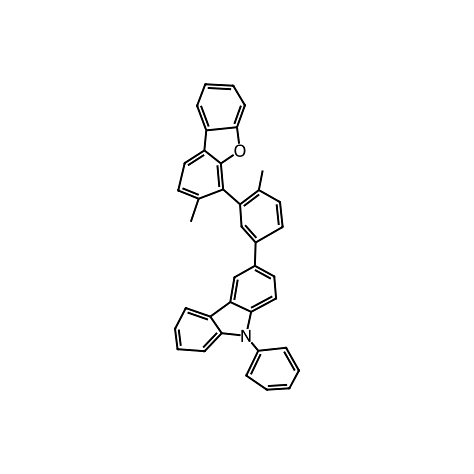 Cc1ccc(-c2ccc3c(c2)c2ccccc2n3-c2ccccc2)cc1-c1c(C)ccc2c1oc1ccccc12